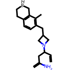 C=CC(CC(=C)N)N1CC(Cc2ccc3c(c2C)CBCC3)C1